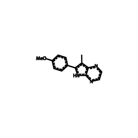 COc1ccc(-c2[nH]c3nccnc3c2C)cc1